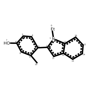 CCn1c(-c2ccc(O)cc2C)cc2ccccc21